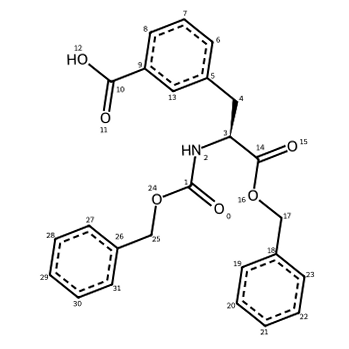 O=C(N[C@@H](Cc1cccc(C(=O)O)c1)C(=O)OCc1ccccc1)OCc1ccccc1